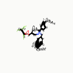 COc1ccc(CN(Cc2ccc(OC)cc2)CC(COC(F)C(F)F)OC(C)=O)cc1